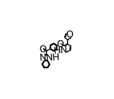 O=C(c1ccc(OC2=C(C3C=COC3)C=CCN2)cc1)c1nc2ccccc2[nH]1